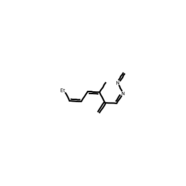 C=N/N=C\C(=C)/C(C)=C\C=C/CC